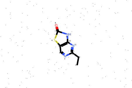 CCc1ncc2sc(=O)[nH]c2n1